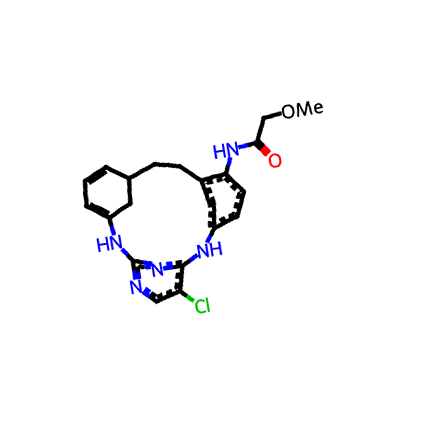 COCC(=O)Nc1ccc2cc1CCC1C=CC=C(C1)Nc1ncc(Cl)c(n1)N2